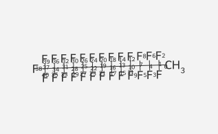 CC(F)(F)C(F)(F)C(F)(F)C(F)(F)C(F)(F)C(F)(F)C(F)(F)C(F)(F)C(F)(F)C(F)(F)C(F)(F)C(F)(F)C(F)(F)F